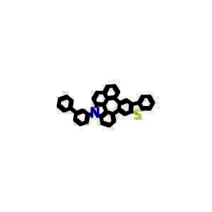 c1ccc(-c2cccc(-n3c4cccc5c4c4c6c(cccc6ccc43)-c3cc4c(cc3-5)sc3ccccc34)c2)cc1